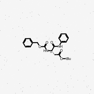 CC(C)(C)OC(=O)C[C@H](NC(=O)OCc1ccccc1)C(=O)Nc1ccccc1